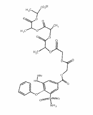 CCCCNc1cc(C(=O)OCC(=O)OCC(=O)OC(C)C(=O)OC(C)C(=O)OC(C)C(=O)OC(C)C(=O)OCC)cc(S(N)(=O)=O)c1Oc1ccccc1